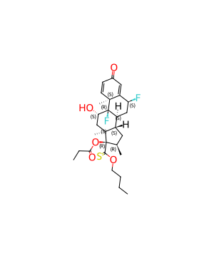 CCCCOC(=S)[C@@]1(OC(=O)CC)[C@H](C)C[C@H]2[C@@H]3C[C@H](F)C4=CC(=O)C=C[C@]4(C)[C@@]3(F)[C@@H](O)C[C@@]21C